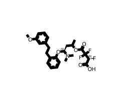 COc1cccc(CCc2ccccc2O[C@@H](CC(C)OC(=O)C(F)(F)[C@H](F)C(=O)O)N(C)C)c1